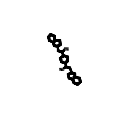 N#C/C(=C\c1ccc2ccccc2c1)c1ccc(/C(C#N)=C/c2ccc3ccccc3c2)cc1